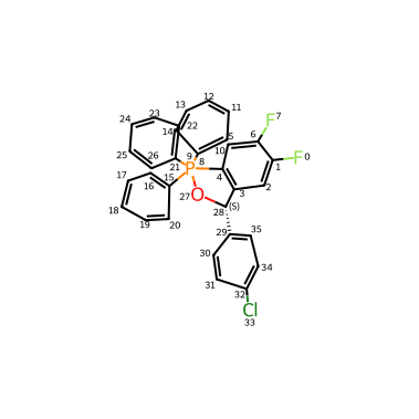 Fc1cc2c(cc1F)P(c1ccccc1)(c1ccccc1)(c1ccccc1)O[C@H]2c1ccc(Cl)cc1